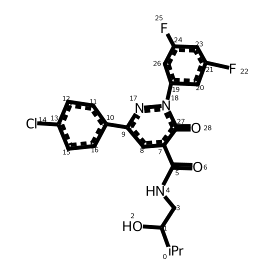 CC(C)C(O)CNC(=O)c1cc(-c2ccc(Cl)cc2)nn(-c2cc(F)cc(F)c2)c1=O